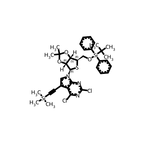 CC1(C)O[C@@H]2[C@H](O1)[C@@H](CO[Si](c1ccccc1)(c1ccccc1)C(C)(C)C)S[C@H]2n1cc(C#C[Si](C)(C)C)c2c(Cl)nc(Cl)nc21